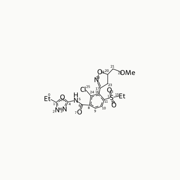 CCc1nnc(NC(=O)c2ccc(S(=O)(=O)CC)c(C3=NOC(COC)C3)c2Cl)o1